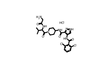 CC(C)C(NC(=O)CN)C(=O)N1CCC(NC(=O)c2n[nH]cc2NC(=O)c2c(Cl)cccc2Cl)CC1.Cl